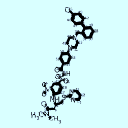 CN(C)C(=O)C[C@H](CSc1ncccn1)Nc1ccc(S(=O)(=O)NC(=O)c2ccc(N3CCN(Cc4ccccc4-c4ccc(Cl)cc4)CC3)cc2)cc1[N+](=O)[O-]